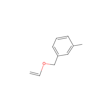 C=COCc1cccc(C)c1